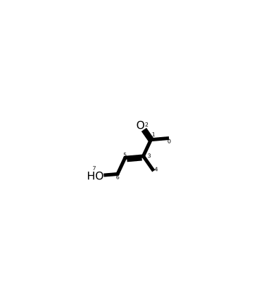 CC(=O)/C(C)=C/CO